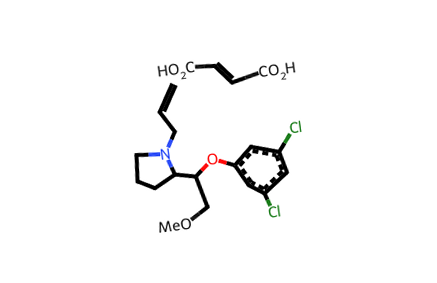 C=CCN1CCCC1C(COC)Oc1cc(Cl)cc(Cl)c1.O=C(O)C=CC(=O)O